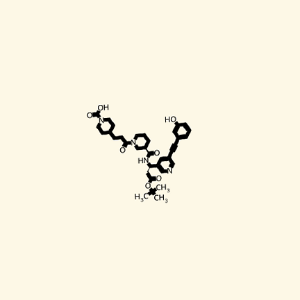 CC(C)(C)OC(=O)C[C@H](NC(=O)[C@@H]1CCCN(C(=O)CCC2CCN(C(=O)O)CC2)C1)c1cncc(C#Cc2cccc(O)c2)c1